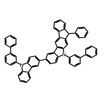 c1ccc(-c2cccc(-n3c4ccccc4c4cc(-c5ccc6c(c5)c5cc7c(cc5n6-c5cccc(-c6ccccc6)c5)C(c5ccccc5)c5ccccc5-7)ccc43)c2)cc1